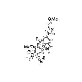 COCCn1cc(-c2cc(C(F)F)c3c(-c4cc(OC)c(C(N)=O)c(OC(F)F)c4)n(C)nc3c2)cn1